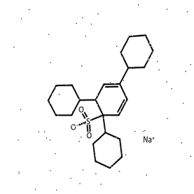 O=S(=O)([O-])C1(C2CCCCC2)C=CC(C2CCCCC2)=CC1C1CCCCC1.[Na+]